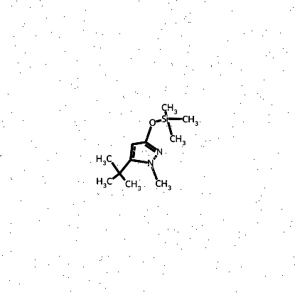 Cn1nc(O[Si](C)(C)C)cc1C(C)(C)C